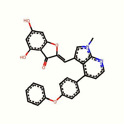 Cn1cc(C=C2Oc3cc(O)cc(O)c3C2=O)c2c(-c3ccc(Oc4ccccc4)cc3)ccnc21